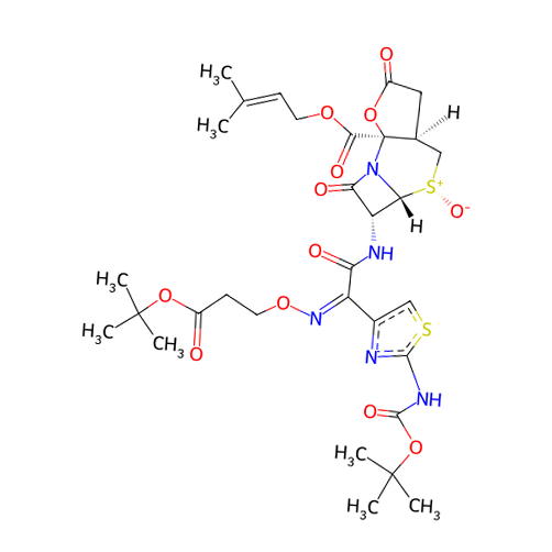 CC(C)=CCOC(=O)[C@]12OC(=O)C[C@H]1C[S@+]([O-])[C@@H]1[C@H](NC(=O)/C(=N\OCCC(=O)OC(C)(C)C)c3csc(NC(=O)OC(C)(C)C)n3)C(=O)N12